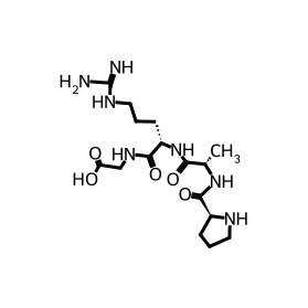 C[C@H](NC(=O)[C@@H]1CCCN1)C(=O)N[C@@H](CCCNC(=N)N)C(=O)NCC(=O)O